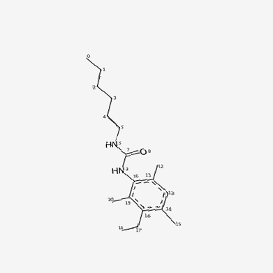 CCCCCCNC(=O)Nc1c(C)cc(C)c(CC)c1C